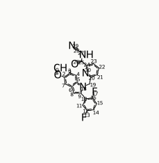 COc1ccc2c(c1)cc(-c1cc(F)ccc1F)n2Cc1cccc(C(=O)NC#N)n1